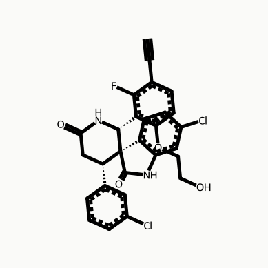 C#Cc1ccc(OCCO)c([C@H]2NC(=O)C[C@@H](c3cccc(Cl)c3)[C@]23C(=O)Nc2cc(Cl)ccc23)c1F